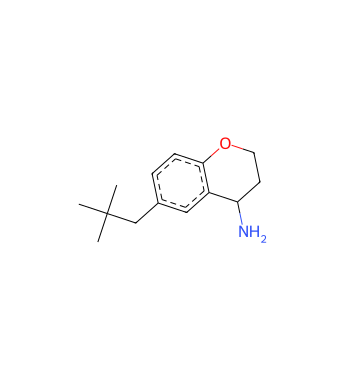 CC(C)(C)Cc1ccc2c(c1)C(N)CCO2